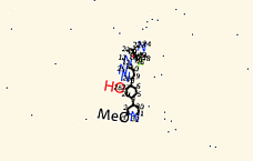 COc1cc(-c2ccc(-c3ccc(N(C)[C@@H]4[C@@H](F)[C@]5(C)C[C@@]4(C)CN5C)nn3)c(O)c2)ccn1